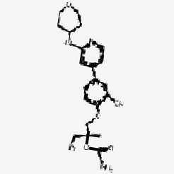 CC(C)CC(C)(COc1ccc(-c2ccnc(NC3CCOCC3)c2)cc1C#N)OC(N)=O